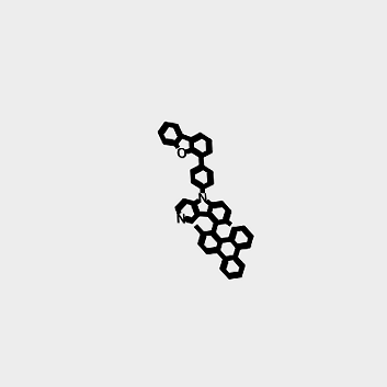 Cc1ccc2c3ccccc3c3ccccc3c2c1-c1c(C)ccc2c1c1cnccc1n2-c1ccc(-c2cccc3c2oc2ccccc23)cc1